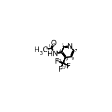 CC(=O)Nc1cnccc1C(F)(F)F